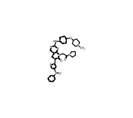 CN1CCC(Oc2ccc(Nc3ncc4cc(-c5cc([S+]([O-])c6ccccc6)cs5)c(=O)n(CC(=O)N5CCCC5)c4n3)cc2)CC1